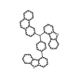 c1ccc2c(c1)ccc1ccc(N(c3ccc(-c4cccc5sc6ccccc6c45)cc3)c3cccc4oc5ccccc5c34)cc12